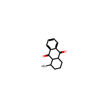 CCCCC1CCCC2C(=O)c3ccccc3C(=O)C12